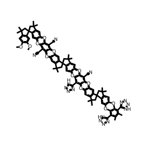 COc1cc2c(cc1OC)C1(CC2(C)C)CC(C)(C)c2cc3oc4c(C#N)c5oc6cc7c(cc6oc5c(C#N)c4oc3cc21)C(C)(C)CC71CC(C)(C)c2cc3oc4c(C#N)c5oc6cc7c(cc6oc5c(-c5nnn[nH]5)c4oc3cc21)C(C)(C)CC71CC(C)(C)c2cc3c(cc21)Oc1c(c(-c2nnn[nH]2)c(C)c(C)c1-c1nnn[nH]1)O3